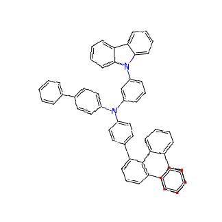 c1ccc(-c2ccc(N(c3ccc(-c4cccc(-c5ccccc5)c4-c4ccccc4-c4ccccc4)cc3)c3cccc(-n4c5ccccc5c5ccccc54)c3)cc2)cc1